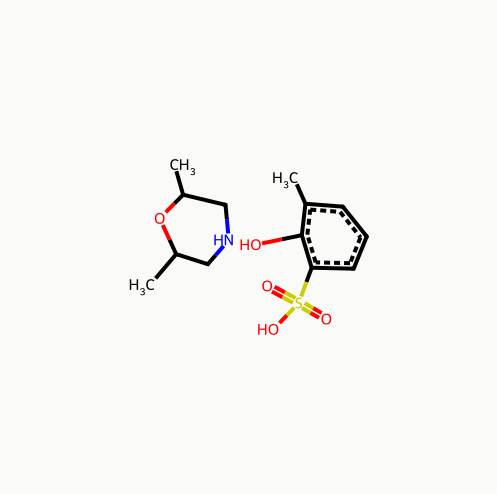 CC1CNCC(C)O1.Cc1cccc(S(=O)(=O)O)c1O